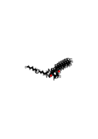 CCCCCCOCCCCc1cnc(C2(F)C(F)=C(F)C(F)=C(F)N2OC(F)(F)C(F)(F)C(F)(F)C(F)(F)C(F)(F)C(F)(F)C(F)(F)F)cn1